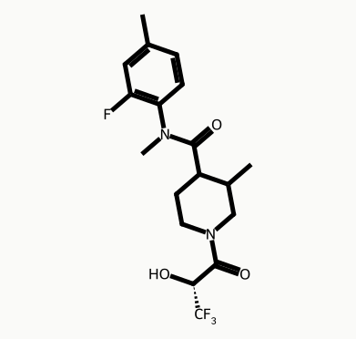 Cc1ccc(N(C)C(=O)C2CCN(C(=O)[C@@H](O)C(F)(F)F)CC2C)c(F)c1